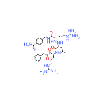 CC(C)C[C@H](NN[C@@H](CCCNC(N)N)C(=O)NCc1ccc(C(=N)N)cc1)C(=O)N[C@@H](CCCNC(N)N)C(=O)C(=O)Cc1ccccc1